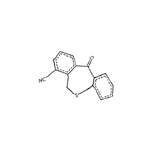 N#Cc1cccc2c1CSc1ccccc1C2=O